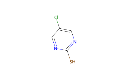 Sc1ncc(Cl)cn1